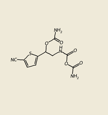 N#Cc1ccc(C(CNC(=O)OC(N)=O)OC(N)=O)s1